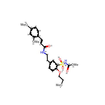 COCCOc1ccc(CCNC(=O)C=Cc2ccc(OC)cc2OC)cc1S(=O)(=O)NC(=O)OC